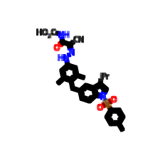 Cc1ccc(S(=O)(=O)n2cc(C(C)C)c3cc(Cc4c(C)cc(N/N=C(/C#N)C(=O)NC(=O)O)cc4C)ccc32)cc1